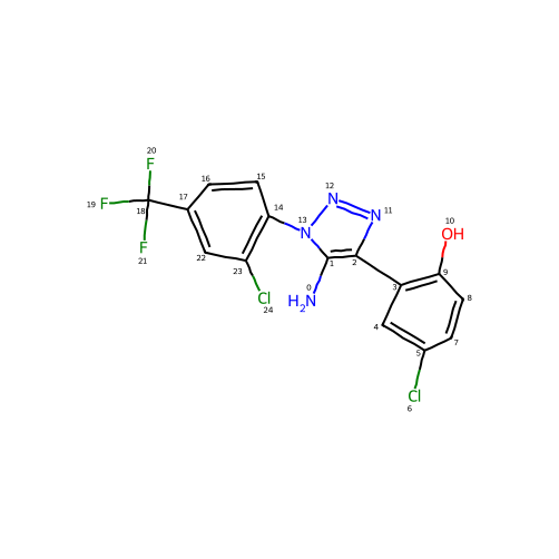 Nc1c(-c2cc(Cl)ccc2O)nnn1-c1ccc(C(F)(F)F)cc1Cl